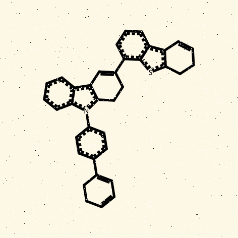 C1=CCCC(c2ccc(-n3c4c(c5ccccc53)C=C(c3cccc5c6c(sc35)CCC=C6)CC4)cc2)=C1